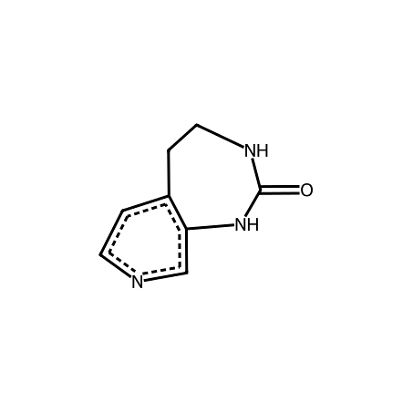 O=C1NCCc2ccncc2N1